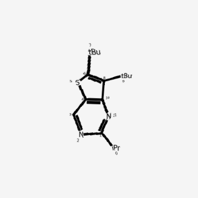 CC(C)c1ncc2sc(C(C)(C)C)c(C(C)(C)C)c2n1